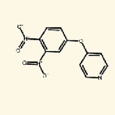 O=[N+]([O-])c1ccc(Oc2ccncc2)cc1[N+](=O)[O-]